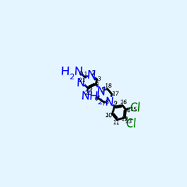 Nc1ncc(N2CCN(c3ccc(Cl)c(Cl)c3)CC2)c(N)n1